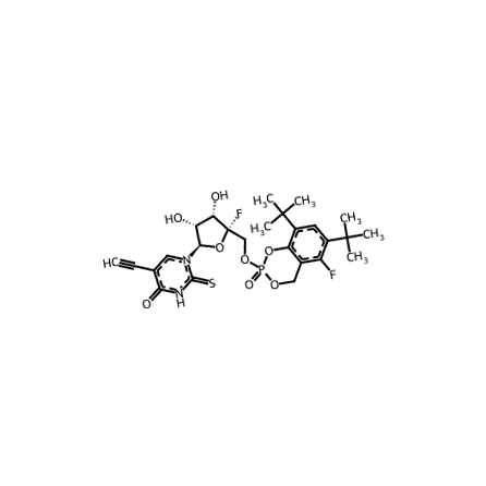 C#Cc1cn([C@@H]2O[C@](F)(COP3(=O)OCc4c(F)c(C(C)(C)C)cc(C(C)(C)C)c4O3)[C@@H](O)[C@H]2O)c(=S)[nH]c1=O